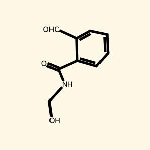 O=Cc1ccccc1C(=O)NCO